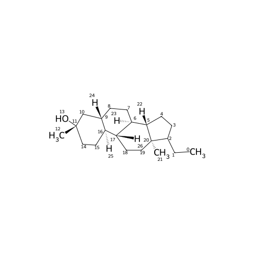 CCC1CC[C@H]2[C@@H]3CC[C@H]4C[C@@](C)(O)CC[C@@H]4[C@H]3CC[C@]12C